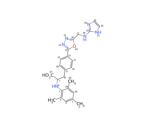 Cc1cc(C)c(NC(Cc2ccc(-c3nnc(CNc4ncc[nH]4)o3)cc2)C(=O)O)c(C)c1